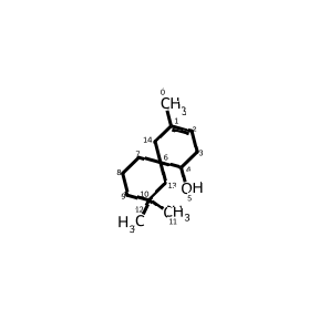 CC1=CCC(O)C2(CCCC(C)(C)C2)C1